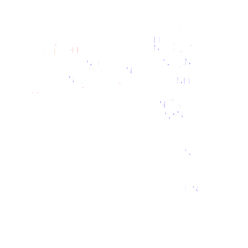 N[C@@H](CCC(=O)N1CCC(Nc2nc(NCc3cn(CCCNCCCNC4CCCCC4)nn3)nc3ccccc23)CC1)C(=O)N(CCP(=O)(O)O)CCP(=O)(O)O